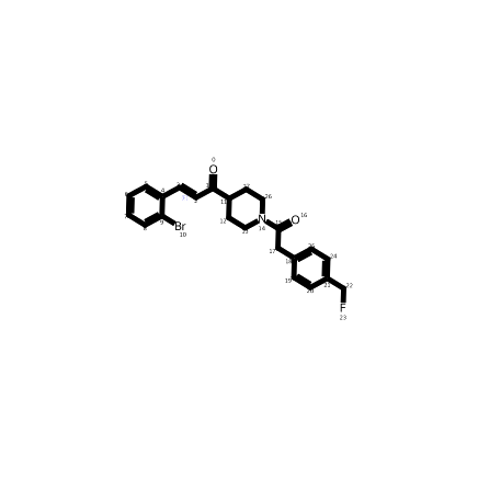 O=C(/C=C/c1ccccc1Br)C1CCN(C(=O)Cc2ccc(CF)cc2)CC1